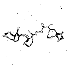 CC[C@H](C(=O)OCOC(=O)N1CCN=C1Nc1ccc2[nH]cnc2c1Br)[C@H](CO)Cc1cncn1C